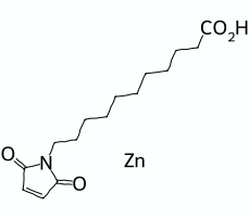 O=C(O)CCCCCCCCCCN1C(=O)C=CC1=O.[Zn]